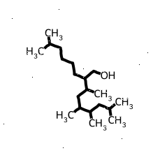 CC(C)CCCCC(CO)C(C)CC(C)C(C)CC(C)C